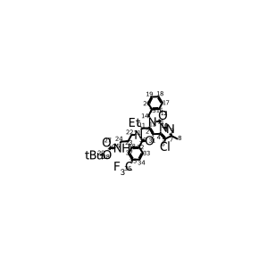 CC[C@H](c1cc2c(Cl)c(C)nn2c(=O)n1Cc1ccccc1)N(CCCNC(=O)OC(C)(C)C)C(=O)c1ccc(C(F)(F)F)cc1